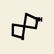 C1CC2(CNC2)S1